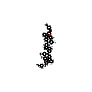 C=Cc1ccc(Oc2ccc(C3(c4ccc(F)cc4F)c4ccccc4-c4ccc(N(c5ccc(F)cc5)c5ccc6c(c5)C5(CC6(C)C)CC(C)(C)c6ccc(N(c7ccc(F)cc7)c7ccc8c(c7)C(c7ccc(Oc9ccc(C=C)cc9)cc7)(c7ccc(F)cc7F)c7ccccc7-8)cc65)cc43)cc2)cc1